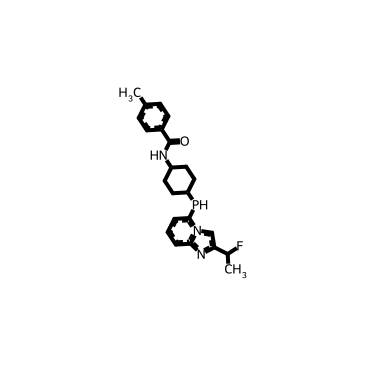 Cc1ccc(C(=O)NC2CCC(Pc3cccc4nc(C(C)F)cn34)CC2)cc1